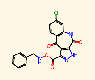 O=C(ONCc1ccccc1)c1n[nH]c2c(=O)[nH]c3cc(Cl)ccc3c(=O)c12